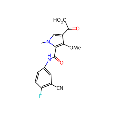 COc1c(C(=O)C(=O)O)cn(C)c1C(=O)Nc1ccc(F)c(C#N)c1